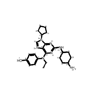 CCN(c1ccc(O)cc1)c1nc(NC2CCC(N)CC2)nc2c1ncn2C1CCCC1